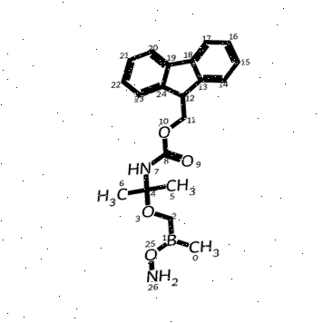 CB(COC(C)(C)NC(=O)OCC1c2ccccc2-c2ccccc21)ON